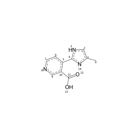 Cc1c[nH]c(-c2ccncc2C(=O)O)n1